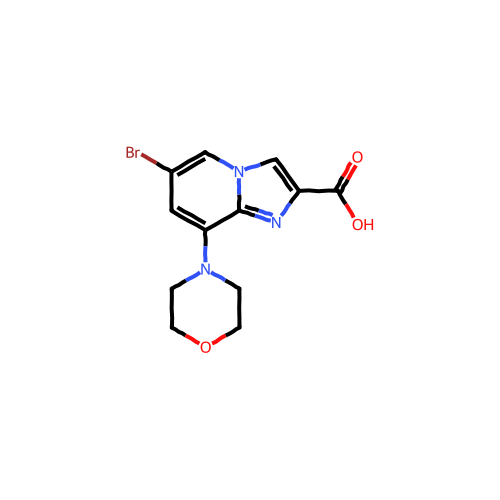 O=C(O)c1cn2cc(Br)cc(N3CCOCC3)c2n1